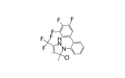 CC1(Cl)[C]=C(C(F)(F)F)NN1c1ccccc1-c1cc(F)c(F)c(F)c1